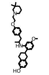 COc1ccc(C2CCc3cc(O)ccc3C2)c(NC(C)Cc2ccc(OCCN3CCCC(C)(C)C3)cc2)c1